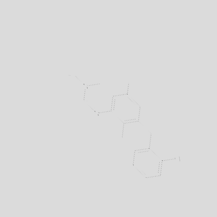 CCN(C)/C=N\c1cc(F)cc(Cc2ccccc2Cl)c1C